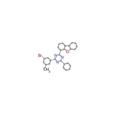 Cc1cc(Br)cc(-c2nc(-c3ccccc3)nc(-c3cccc4c3oc3ccccc34)n2)c1